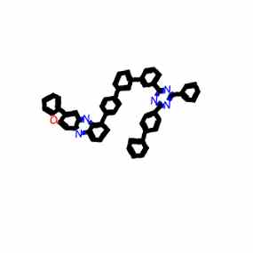 c1ccc(-c2ccc(-c3nc(-c4ccccc4)nc(-c4cccc(-c5cccc(-c6ccc(-c7cccc8nc9cc%10oc%11ccccc%11c%10cc9nc78)cc6)c5)c4)n3)cc2)cc1